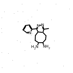 CC1=NN=C(c2ccccn2)C2CCC(N)C(N)CCC12